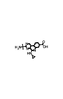 CC(C)(N)c1ncc2c(n1)c(NC1CC1)nc1cc(C(=O)O)ccc12